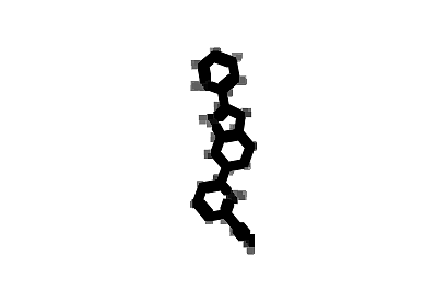 N#Cc1cccc(C2CCC3=C(C2)N=C(c2ccccn2)C3)n1